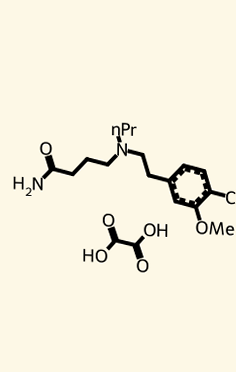 CCCN(CCCC(N)=O)CCc1ccc(Cl)c(OC)c1.O=C(O)C(=O)O